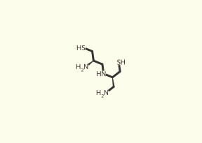 NC[C@H](CS)NC[C@@H](N)CS